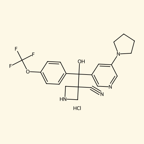 Cl.N#CC1(C(O)(c2ccc(OC(F)(F)F)cc2)c2cncc(N3CCCC3)c2)CNC1